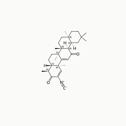 [C-]#[N+]C1=C[C@]2(C)C3=CC(=O)[C@@H]4[C@@H]5CC(C)(C)CC[C@]5(C)CC[C@@]4(C)[C@]3(C)CC[C@H]2[C@H](C)C1=O